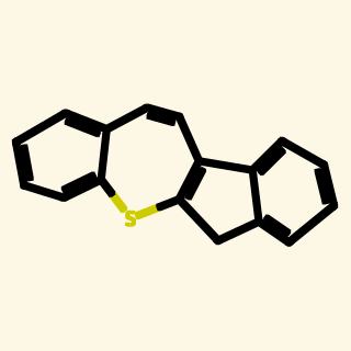 C1=Cc2ccccc2SC2=C1c1ccccc1C2